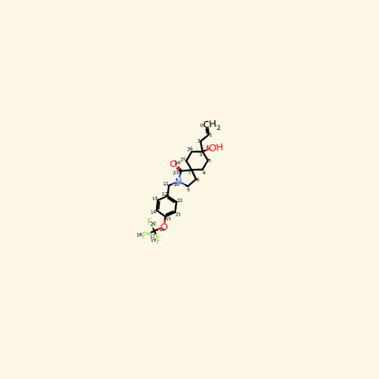 C=CCC1(O)CCC2(CCN(Cc3ccc(OC(F)(F)F)cc3)C2=O)CC1